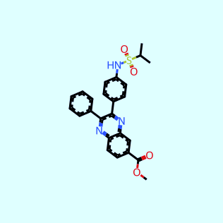 COC(=O)c1ccc2nc(-c3ccccc3)c(-c3ccc(NS(=O)(=O)C(C)C)cc3)nc2c1